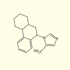 O=C(O)c1cncn1C1CC2CCCCC2c2ccccc21